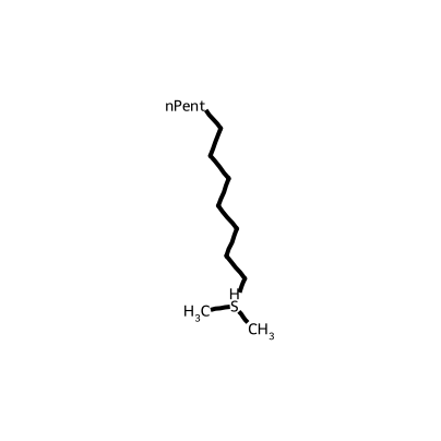 CCCCCCCCCCCC[SH](C)C